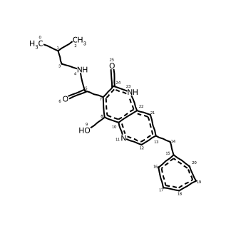 CC(C)CNC(=O)c1c(O)c2ncc(Cc3ccccc3)cc2[nH]c1=O